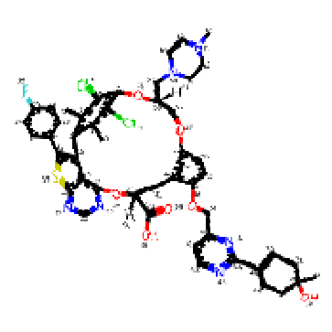 Cc1c(Cl)c2c(Cl)c(C)c1-c1c(-c3ccc(F)cc3)sc3ncnc(c13)O[C@@H](C(=O)O)Cc1cc(ccc1OCc1ccnc(C3CCC(C)(O)CC3)n1)OC[C@@H](CN1CCN(C)CC1)O2